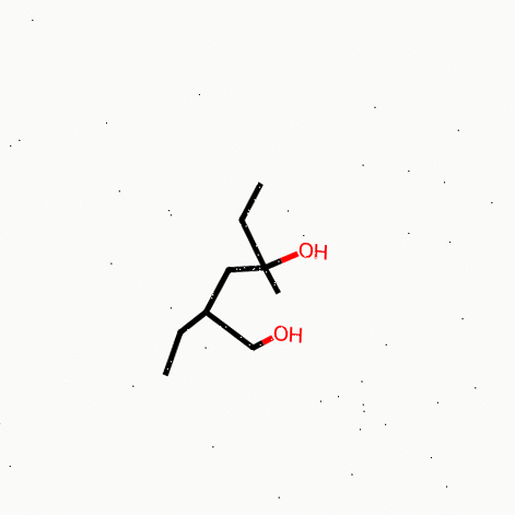 CCC(CO)CC(C)(O)CC